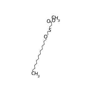 CCCCCCCCCCCCCCCOCCSCCC(=O)OC